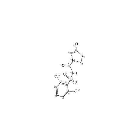 CCC1=NN(C(=O)NS(=O)(=O)c2c(Cl)cccc2Cl)CC1